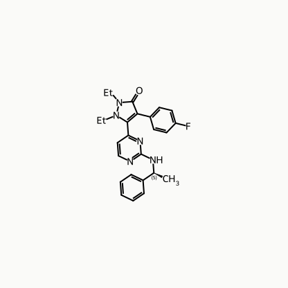 CCn1c(-c2ccnc(N[C@@H](C)c3ccccc3)n2)c(-c2ccc(F)cc2)c(=O)n1CC